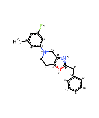 Cc1cc(F)cc(N2CCc3oc(Cc4ccccc4)nc3C2)c1